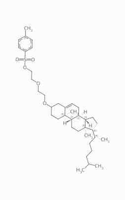 Cc1ccc(S(=O)(=O)OCCOCCOC2CC[C@@]3(C)C(=CC[C@H]4[C@@H]5CC[C@H]([C@H](C)CCCC(C)C)[C@@]5(C)CC[C@@H]43)C2)cc1